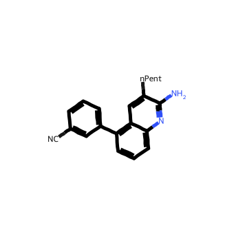 CCCCCc1cc2c(-c3cccc(C#N)c3)cccc2nc1N